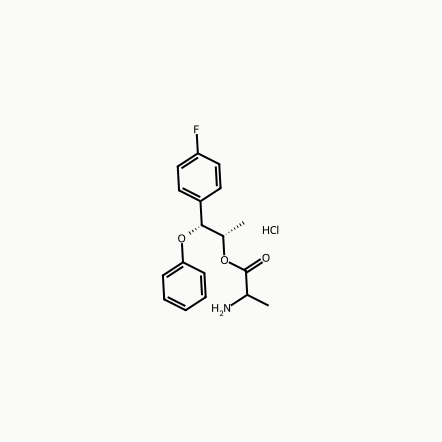 CC(N)C(=O)O[C@@H](C)[C@H](Oc1ccccc1)c1ccc(F)cc1.Cl